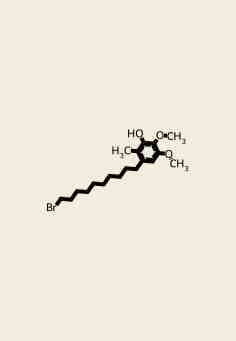 COc1cc(CCCCCCCCCCBr)c(C)c(O)c1OC